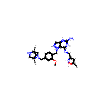 COc1cc(CN2C[C@@H]3C[C@H]2CN3)ccc1Cn1ncc2nc(N)nc(NCc3cc(C)on3)c21